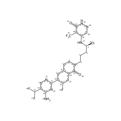 CC[C@@H](CCCn1ccc2cc(-c3ncc(C(F)F)c(N)n3)c(F)cc2c1=O)Nc1cn[nH]c(=O)c1C(F)(F)F